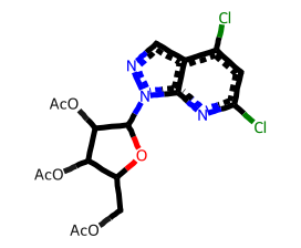 CC(=O)OCC1OC(n2ncc3c(Cl)cc(Cl)nc32)C(OC(C)=O)C1OC(C)=O